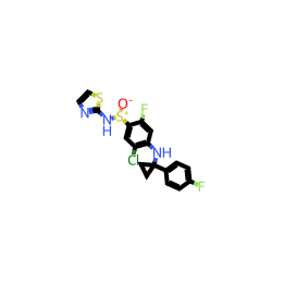 [O-][S+](Nc1nccs1)c1cc(Cl)c(NC2(c3ccc(F)cc3)CC2)cc1F